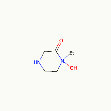 CC[N+]1(O)CCNCC1=O